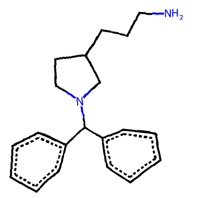 NCCCC1CCN(C(c2ccccc2)c2ccccc2)C1